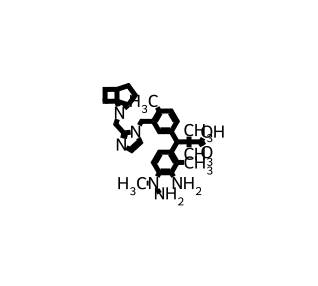 Cc1ccc(C(c2ccc(N(C)N)c(N)c2C)C(C)(C)C(=O)O)cc1Cn1ccnc1CN1C2CCC3CCC321